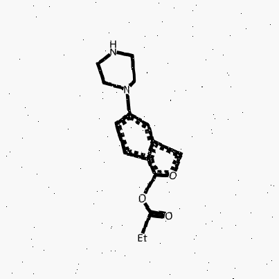 CCC(=O)Oc1occ2cc(N3CCNCC3)ccc12